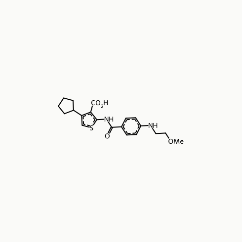 COCCNc1ccc(C(=O)Nc2scc(C3CCCC3)c2C(=O)O)cc1